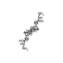 NCCNC[C@H](O)c1cc([C@@H]2CC3(CC3)[C@@H]3CN2C(=O)N3OS(=O)(=O)ON2C(=O)N3C[C@H]2C2(CC2)C[C@H]3c2cc([C@@H](O)CNCCN)on2)no1